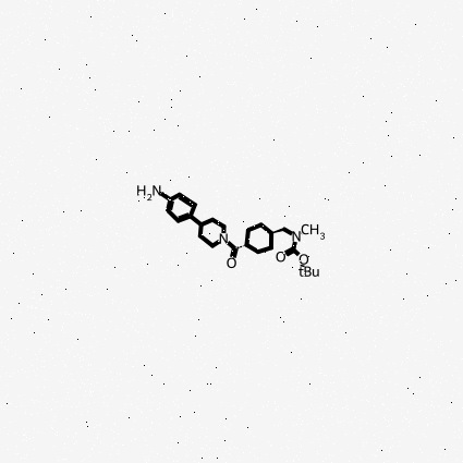 CN(C[C@H]1CC[C@H](C(=O)N2CCC(c3ccc(N)cc3)CC2)CC1)C(=O)OC(C)(C)C